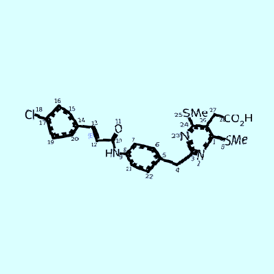 CSc1nc(Cc2ccc(NC(=O)/C=C/c3ccc(Cl)cc3)cc2)nc(SC)c1CC(=O)O